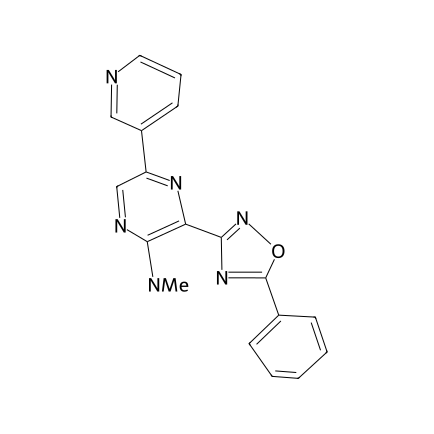 CNc1ncc(-c2cccnc2)nc1-c1noc(-c2ccccc2)n1